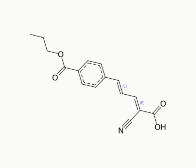 CCCOC(=O)c1ccc(/C=C/C=C(\C#N)C(=O)O)cc1